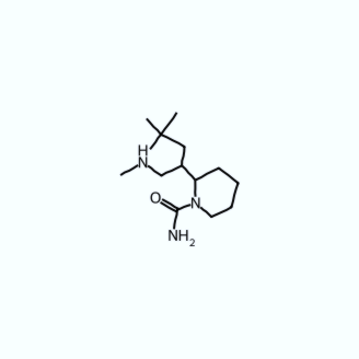 CNCC(CC(C)(C)C)C1CCCCN1C(N)=O